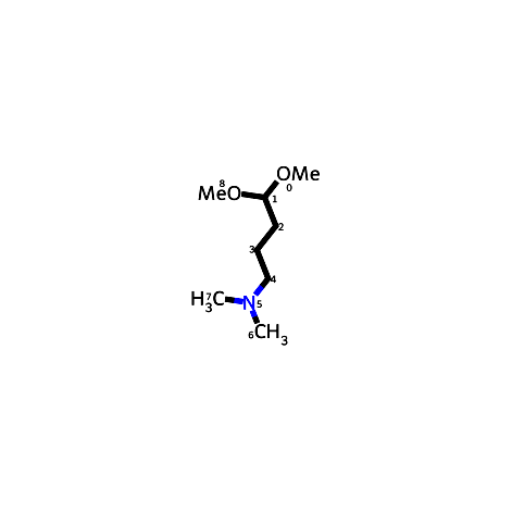 COC(CCCN(C)C)OC